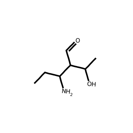 CCC(N)C(C=O)C(C)O